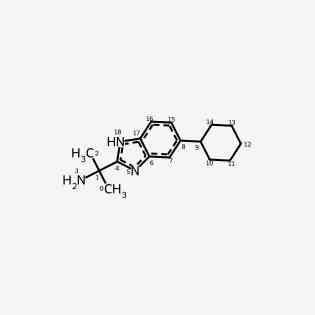 CC(C)(N)c1nc2cc(C3CCCCC3)ccc2[nH]1